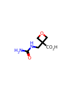 NC(=O)NCC1(C(=O)O)COC1